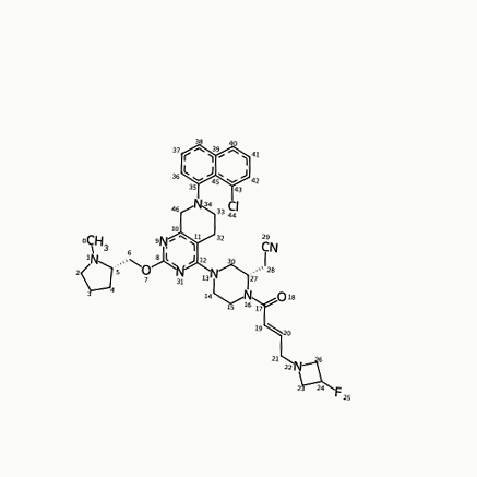 CN1CCC[C@H]1COc1nc2c(c(N3CCN(C(=O)/C=C/CN4CC(F)C4)[C@@H](CC#N)C3)n1)CCN(c1cccc3cccc(Cl)c13)C2